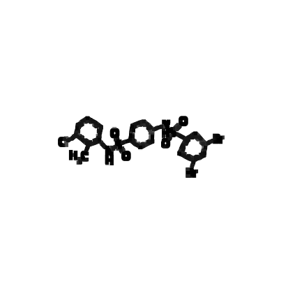 Cc1c(Cl)cccc1NS(=O)(=O)c1ccc(NS(=O)(=O)c2cc(Br)cc(Br)c2)cc1